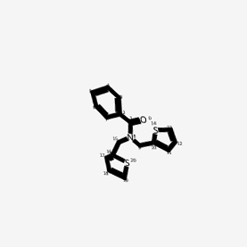 O=C(c1ccccc1)N(Cc1cccs1)Cc1cccs1